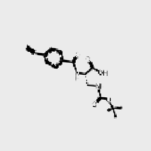 C#Cc1ccc(C(=O)N[C@@H](CNC(=O)OC(C)(C)C)C(=O)O)cc1